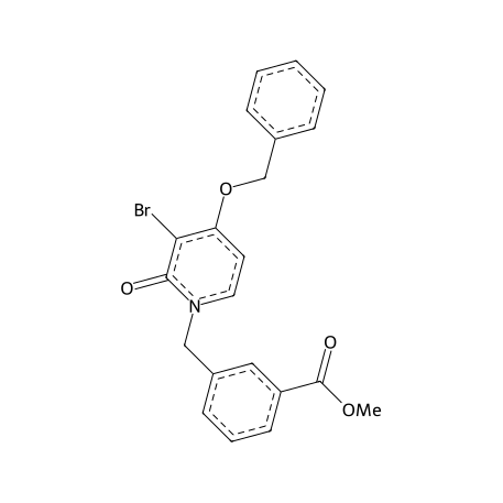 COC(=O)c1cccc(Cn2ccc(OCc3ccccc3)c(Br)c2=O)c1